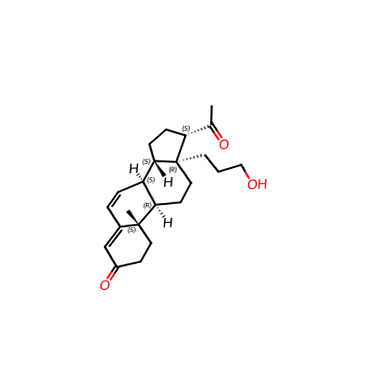 CC(=O)[C@H]1CC[C@H]2[C@@H]3C=CC4=CC(=O)CC[C@@]4(C)[C@@H]3CC[C@]12CCCO